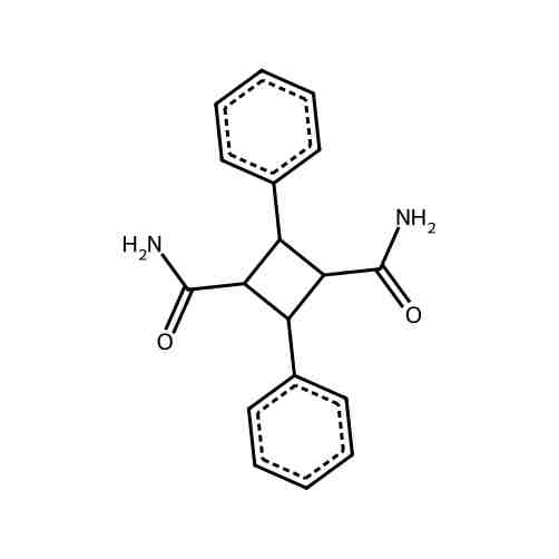 NC(=O)C1C(c2ccccc2)C(C(N)=O)C1c1ccccc1